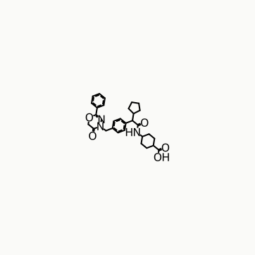 O=C(O)C1CCC(NC(=O)C(c2ccc(CN3N=C(c4ccccc4)OCC3=O)cc2)C2CCCC2)CC1